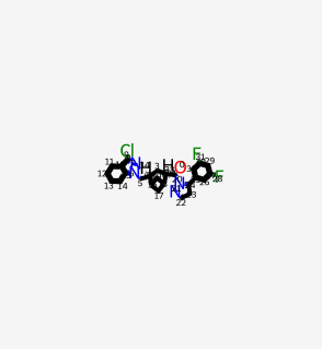 O=C([C@H]1C[C@@H](Cn2nc(Cl)c3ccccc32)C2CC1C2)N1N=CCC1c1cc(F)cc(F)c1